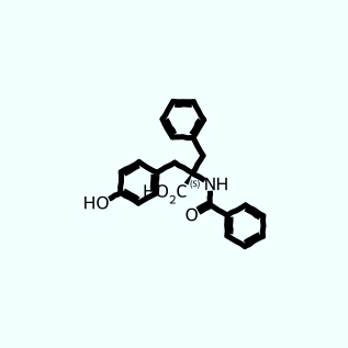 O=C(N[C@@](Cc1ccccc1)(Cc1ccc(O)cc1)C(=O)O)c1ccccc1